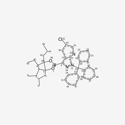 CCCC1(CCC)OB(c2nn(C(c3ccccc3)(c3ccccc3)c3ccccc3)c3ncc(Cl)cc23)OC1(CCC)CCC